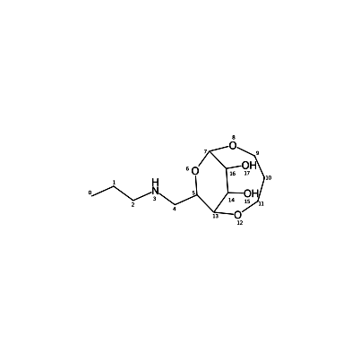 CCCNCC1OC2OCCCOC1C(O)C2O